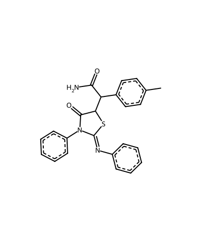 Cc1ccc(C(C(N)=O)C2SC(=Nc3ccccc3)N(c3ccccc3)C2=O)cc1